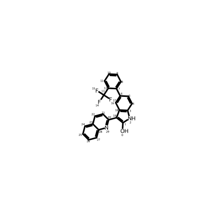 Oc1[nH]c2ccc(-c3ccccc3C(F)(F)F)cc2c1-c1ccc2ccccc2n1